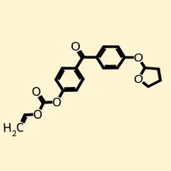 C=COC(=O)Oc1ccc(C(=O)c2ccc(OC3CCCO3)cc2)cc1